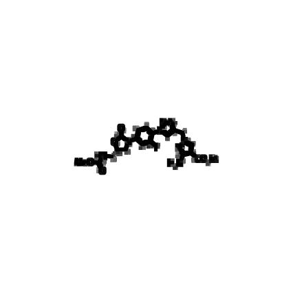 CCOC(=O)c1cn(Cc2cn(-c3ccc(N4C[C@H](CNC(=O)OC)OC4=O)cc3F)nn2)nc1N